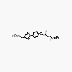 CCCCCCCCCCCc1cnc(-c2ccc(OCC(F)CCC(F)CCC)cc2)nc1